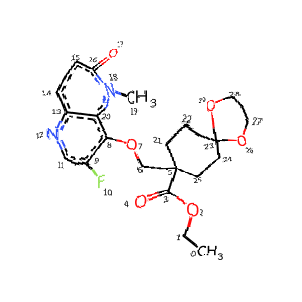 CCOC(=O)C1(COc2c(F)cnc3ccc(=O)n(C)c23)CCC2(CC1)OCCO2